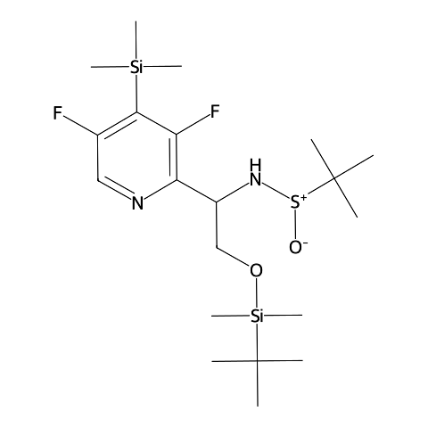 CC(C)(C)[S+]([O-])NC(CO[Si](C)(C)C(C)(C)C)c1ncc(F)c([Si](C)(C)C)c1F